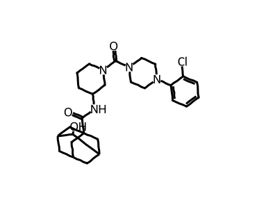 O=C(N1CCN(c2ccccc2Cl)CC1)N1CCCC(NC(=O)C23CC4CC(C2)C(O)C(C4)C3)C1